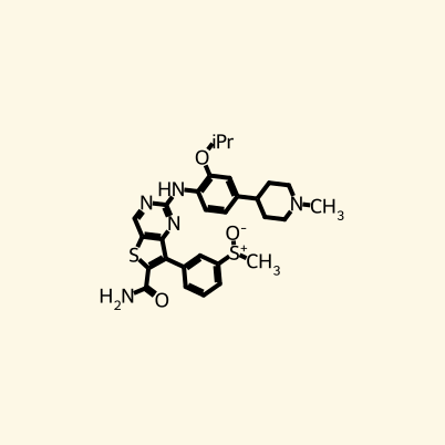 CC(C)Oc1cc(C2CCN(C)CC2)ccc1Nc1ncc2sc(C(N)=O)c(-c3cccc([S+](C)[O-])c3)c2n1